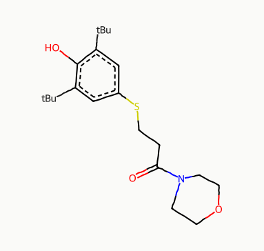 CC(C)(C)c1cc(SCCC(=O)N2CCOCC2)cc(C(C)(C)C)c1O